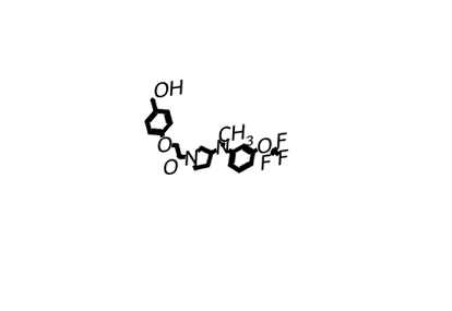 CN(c1cccc(OC(F)(F)F)c1)C1CCN(C(=O)COc2ccc(CO)cc2)C1